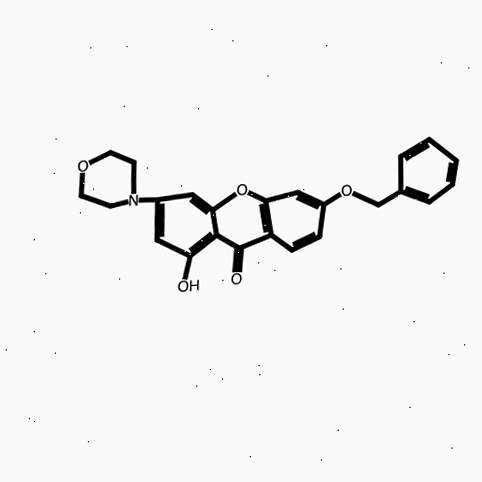 O=c1c2ccc(OCc3ccccc3)cc2oc2cc(N3CCOCC3)cc(O)c12